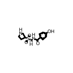 O=C(NNS(=O)(=O)C1CCNC1)c1ccc(O)cc1